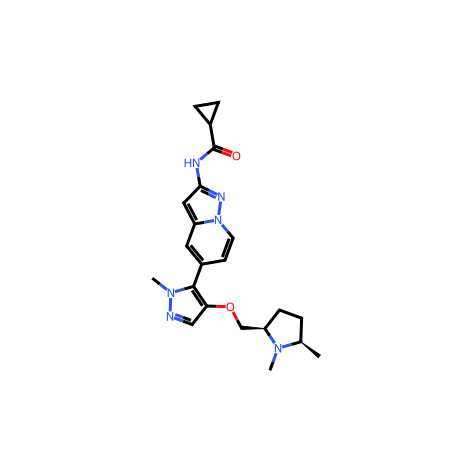 C[C@@H]1CC[C@H](COc2cnn(C)c2-c2ccn3nc(NC(=O)C4CC4)cc3c2)N1C